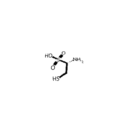 N[C@H](CS)S(=O)(=O)O